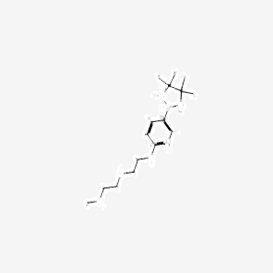 COCCOCCOc1ccc(B2OC(C)(C)C(C)(C)O2)cn1